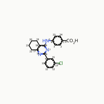 O=C(O)c1ccc(Nc2nc(-c3cccc(Cl)c3)nc3c2CCCC3)cc1